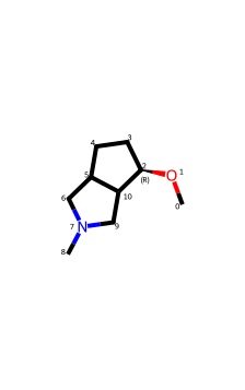 CO[C@@H]1CCC2CN(C)CC21